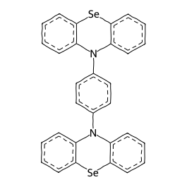 c1ccc2c(c1)[Se]c1ccccc1N2c1ccc(N2c3ccccc3[Se]c3ccccc32)cc1